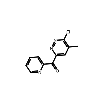 Cc1cc(C(=O)c2ccccn2)nnc1Cl